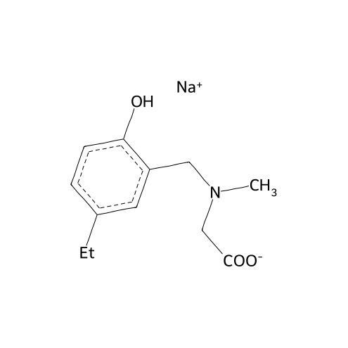 CCc1ccc(O)c(CN(C)CC(=O)[O-])c1.[Na+]